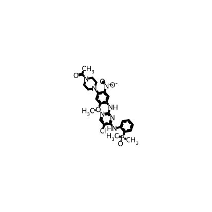 COc1cc(N2CCN(C(C)=O)CC2)c([N+](=O)[O-])cc1Nc1ncc(Cl)c(Nc2ccccc2P(C)(C)=O)n1